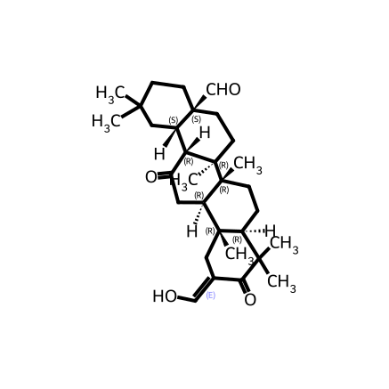 CC1(C)CC[C@]2(C=O)CC[C@]3(C)[C@H](C(=O)C[C@@H]4[C@@]5(C)C/C(=C\O)C(=O)C(C)(C)[C@@H]5CC[C@]43C)[C@@H]2C1